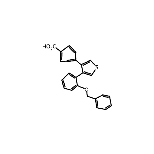 O=C(O)c1ccc(-c2cscc2-c2ccccc2OCc2ccccc2)cc1